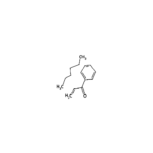 C=CC(=O)c1ccccc1.CCCCCC